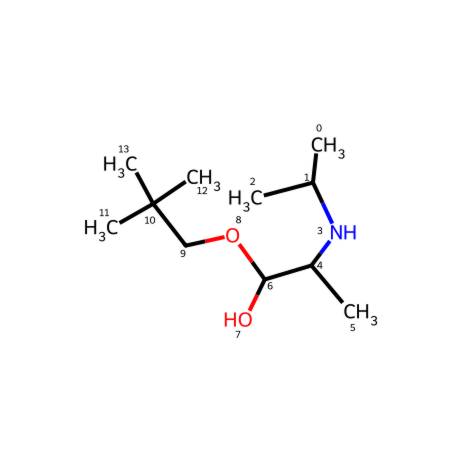 CC(C)NC(C)C(O)OCC(C)(C)C